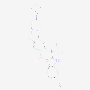 C#Cc1ccc2c3c([nH]c2c1)C(C)(C)c1cc(N2CCC(N4CCC4)CC2)c(CC)cc1C3=O